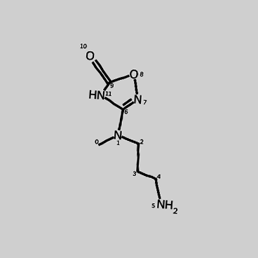 CN(CCCN)c1noc(=O)[nH]1